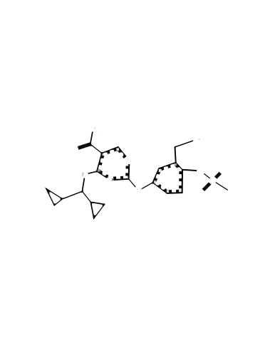 CS(=O)(=O)Oc1ccc(Nc2ncc(C(N)=O)c(NC(C3CC3)C3CC3)n2)cc1CO